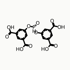 O=C(O)c1cc(O[PH](=O)Oc2cc(C(=O)O)cc(C(=O)O)c2)cc(C(=O)O)c1